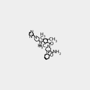 Cc1cc(C)c(C(=O)N2CCN(c3cc#ccc3)[C@H](C(N)=O)C2)c(C)c1NC1CCN(c2cnccn2)CC1